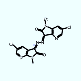 CCN1C(=O)C(=N/N=C2\C(=O)N(C)c3ncc(Cl)cc32)c2ncc(Cl)cc21